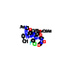 C#Cc1cccc(Nc2ncnc3cc(OC)c(OC4CCN(C(C)=O)CC4)cc23)c1.COCCOc1cc2ncnc(Nc3ccc(F)c(Cl)c3)c2cc1OC1CCN(C(=O)N2CCOCC2)CC1